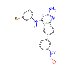 Nc1nc(Nc2cccc(Br)c2)c2cc(-c3cccc(NC=O)c3)ccc2n1